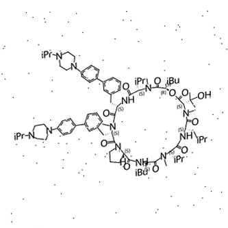 CC[C@H](C)[C@@H]1NC(=O)[C@@H]2CCCN2C(=O)[C@H](Cc2cccc(-c3ccc(N4CCN(C(C)C)CC4)cc3)c2)N(C)C(=O)[C@H](Cc2cccc(-c3ccc(N4CCN(C(C)C)CC4)cc3)c2)NC(=O)[C@H](C(C)C)N(C)C(=O)[C@@H]([C@@H](C)CC)OC(=O)[C@H](C(C)(C)O)N(C)C(=O)[C@H](CC(C)C)NC(=O)[C@H](C(C)C)N(C)C1=O